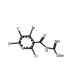 CSC(=N)NC(=O)c1c(Cl)nc(Cl)c(F)c1Br